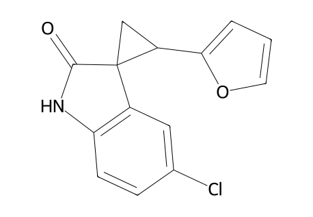 O=C1Nc2ccc(Cl)cc2C12CC2c1ccco1